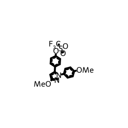 COc1ccc(-n2nc(OC)cc2-c2ccc(OS(=O)(=O)C(F)(F)F)cc2)cc1